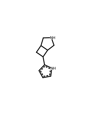 c1c[nH]c(C2CC3CNCC32)c1